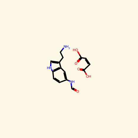 NCCc1c[nH]c2ccc(NC=O)cc12.O=C(O)/C=C\C(=O)O